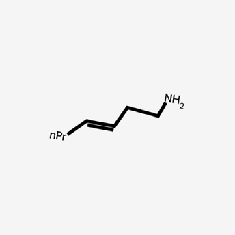 CCC/C=C/CCN